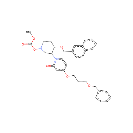 CC(C)(C)OC(=O)ON1CCC(OCc2ccc3ccccc3c2)C(n2ccc(OCCCOCc3ccccc3)cc2=O)C1